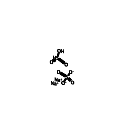 O=S(=O)([O-])[O-].O=[SH](=O)O.[Na+].[Na+]